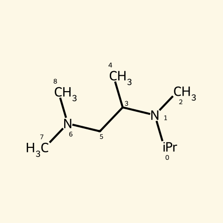 CC(C)N(C)C(C)CN(C)C